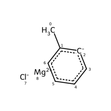 Cc1[c-]cccc1.[Cl-].[Mg+2]